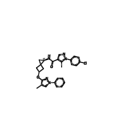 Cc1cn(-c2ccccc2)nc1OC1CC2(C1)C[C@H]2NC(=O)c1cnn(-c2ccc(Cl)cc2)c1C